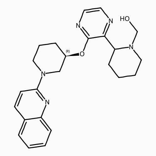 OCN1CCCCC1c1nccnc1O[C@@H]1CCCN(c2ccc3ccccc3n2)C1